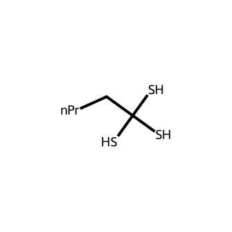 [CH2]CCCC(S)(S)S